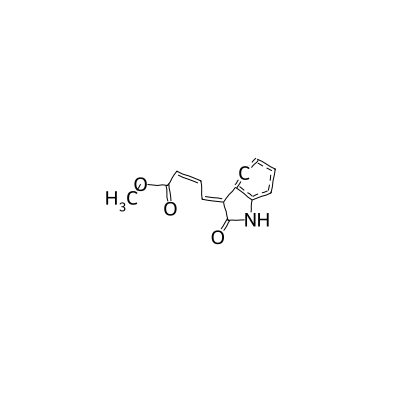 COC(=O)/C=C\C=C1\C(=O)Nc2ccccc21